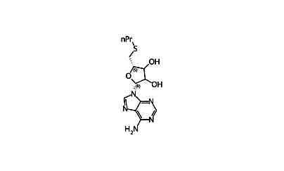 CCCSC[C@H]1O[C@@H](n2cnc3c(N)ncnc32)C(O)C1O